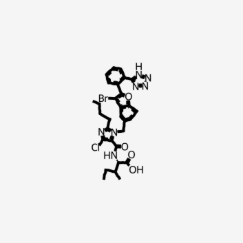 CCCCc1nc(Cl)c(C(=O)N[C@H](C(=O)O)C(C)CC)n1Cc1ccc2oc(-c3ccccc3-c3nnn[nH]3)c(Br)c2c1